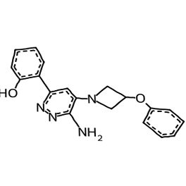 Nc1nnc(-c2ccccc2O)cc1N1CC(Oc2ccccc2)C1